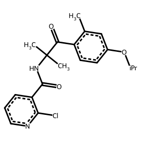 Cc1cc(OC(C)C)ccc1C(=O)C(C)(C)NC(=O)c1cccnc1Cl